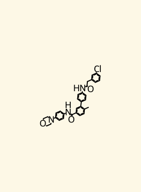 Cc1ccc(C(=O)Nc2ccc(N3CCOCC3)cc2)cc1-c1ccc(NC(=O)Cc2cccc(Cl)c2)cc1